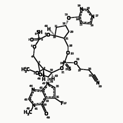 CO[C@@H]1C2COP(=O)(S)O[C@H]3C[C@H](Oc4ccncn4)CC3COP(=S)(OCCC#N)O[C@H]1[C@H](n1cc(F)c3c(=O)n(C)cnc31)O2